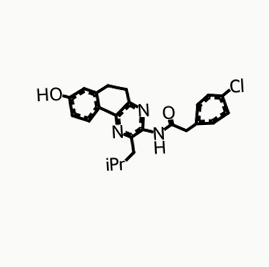 CC(C)Cc1nc2c(nc1NC(=O)Cc1ccc(Cl)cc1)CCc1cc(O)ccc1-2